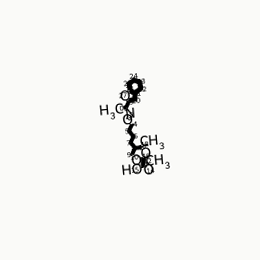 CC(=NOCCCCC1COC(C)(C(=O)O)OC1C)c1cc2ccccc2o1